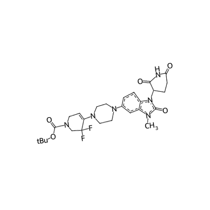 Cn1c(=O)n(C2CCC(=O)NC2=O)c2ccc(N3CCN(C4=CCN(C(=O)OC(C)(C)C)CC4(F)F)CC3)cc21